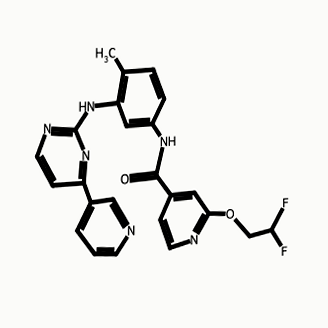 Cc1ccc(NC(=O)c2ccnc(OCC(F)F)c2)cc1Nc1nccc(-c2cccnc2)n1